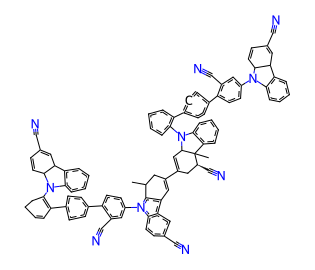 CC1CC(C2=CC3N(c4ccccc4-c4ccc(-c5ccc(N6c7ccccc7C7C=C(C#N)C=CC76)cc5C#N)cc4)c4ccccc4C3(C)[C@@H](C#N)C2)=Cc2c1n(-c1ccc(-c3ccc(C4=C(N5c6ccccc6C6C=C(C#N)C=CC65)CCC=C4)cc3)c(C#N)c1)c1ccc(C#N)cc21